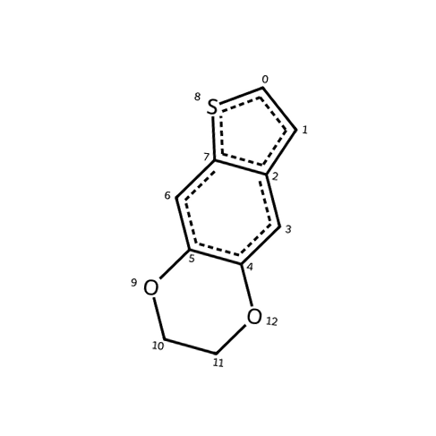 c1cc2cc3c(cc2s1)OCCO3